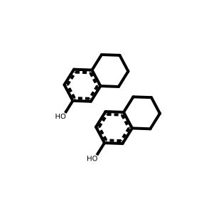 Oc1ccc2c(c1)CCCC2.Oc1ccc2c(c1)CCCC2